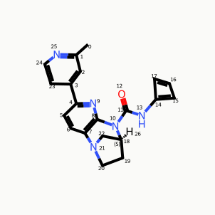 Cc1cc(-c2ccc3c(n2)N(C(=O)NC2=CC=C2)[C@H]2CCN3C2)ccn1